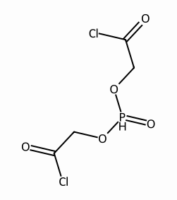 O=C(Cl)CO[PH](=O)OCC(=O)Cl